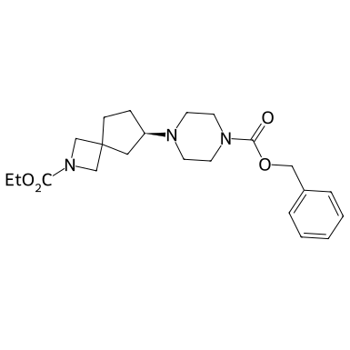 CCOC(=O)N1CC2(CC[C@@H](N3CCN(C(=O)OCc4ccccc4)CC3)C2)C1